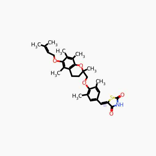 CC(C)=CCOc1c(C)c(C)c2c(c1C)CCC(C)(COc1c(C)cc(/C=C3\SC(=O)NC3=O)cc1C)O2